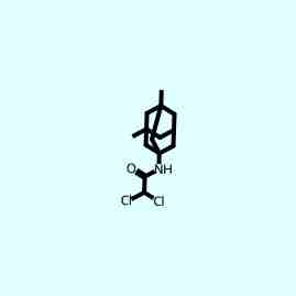 CC12CC3CC(C)(C1)CC(NC(=O)C(Cl)Cl)(C3)C2